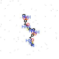 O=C(Nc1nc2ccncc2s1)C1CC1c1ccc(S(=O)(=O)Nc2cccc(-c3cc4nc(NC(=O)C5CC5c5ccc(S(=O)(=O)Nc6ccccn6)cc5)sc4cn3)n2)cc1